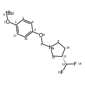 CC(C)(C)Oc1ccc(OCN2CC[C@H](C(F)F)C2)cc1